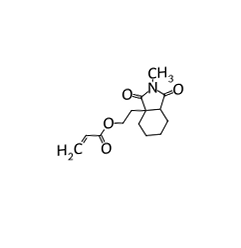 C=CC(=O)OCCC12CCCCC1C(=O)N(C)C2=O